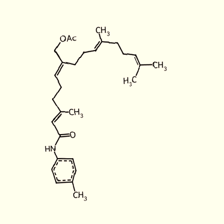 CC(=O)OC/C(=C/CC/C(C)=C/C(=O)Nc1ccc(C)cc1)CC/C=C(\C)CCC=C(C)C